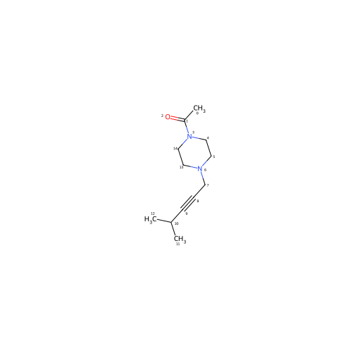 CC(=O)N1CCN(CC#CC(C)C)CC1